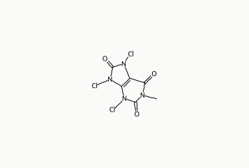 Cn1c(=O)c2c(n(Cl)c1=O)n(Cl)c(=O)n2Cl